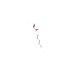 CC=CC(=O)OCCCCCOP(O)(O)=S